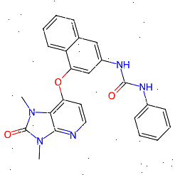 Cn1c(=O)n(C)c2c(Oc3cc(NC(=O)Nc4ccccc4)cc4ccccc34)ccnc21